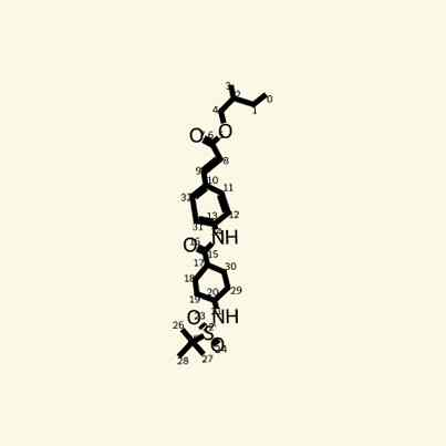 CCC(C)COC(=O)/C=C/c1ccc(NC(=O)C2CCC(NS(=O)(=O)C(C)(C)C)CC2)cc1